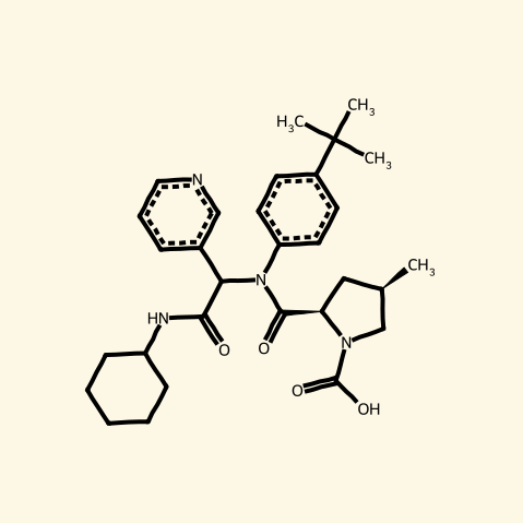 C[C@@H]1C[C@H](C(=O)N(c2ccc(C(C)(C)C)cc2)C(C(=O)NC2CCCCC2)c2cccnc2)N(C(=O)O)C1